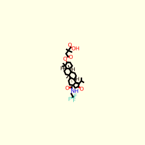 CC(C)C1=C2[C@H]3CC[C@@H]4[C@@]5(C)CC[C@H](OC(=O)CC(C)(C)C(=O)O)C(C)(C)[C@@H]5CC[C@@]4(C)[C@]3(C)CC[C@@]2(C(=O)NCC(F)(F)F)CC1=O